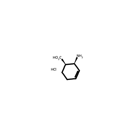 Cl.N[C@H]1C=CCC[C@H]1C(=O)O